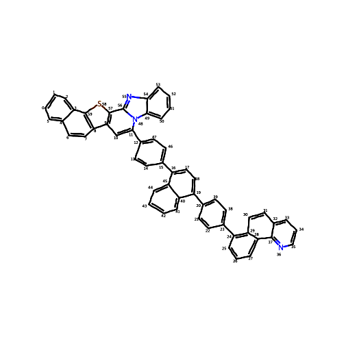 c1ccc2c(c1)ccc1c3cc(-c4ccc(-c5ccc(-c6ccc(-c7cccc8c7ccc7cccnc78)cc6)c6ccccc56)cc4)n4c5ccccc5nc4c3sc21